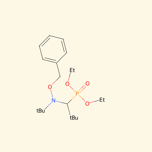 CCOP(=O)(OCC)C(N(OCc1ccccc1)C(C)(C)C)C(C)(C)C